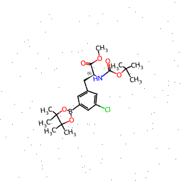 COC(=O)[C@H](Cc1cc(Cl)cc(B2OC(C)(C)C(C)(C)O2)c1)NC(=O)OC(C)(C)C